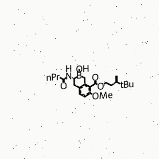 C=C(CCOC(=O)c1c(OC)ccc2c1CB(O)[C@@H](NC(=O)CCC)C2)C(C)(C)C